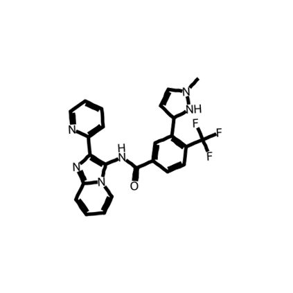 CN1C=CC(c2cc(C(=O)Nc3c(-c4ccccn4)nc4ccccn34)ccc2C(F)(F)F)N1